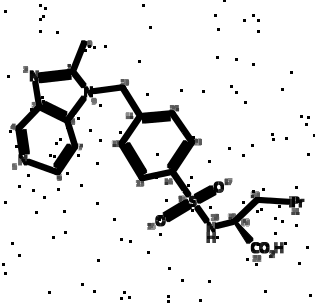 Cc1nc2cnccc2n1Cc1ccc(S(=O)(=O)N[C@@H](CC(C)C)C(=O)O)cc1